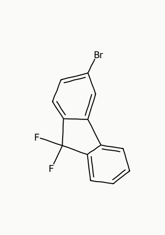 FC1(F)c2ccccc2-c2cc(Br)ccc21